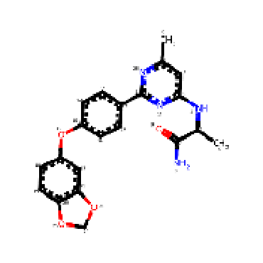 Cc1cc(NC(C)C(N)=O)nc(-c2ccc(Oc3ccc4c(c3)OCO4)cc2)n1